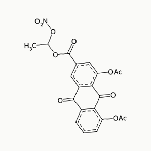 CC(=O)Oc1cccc2c1C(=O)c1c(OC(C)=O)cc(C(=O)OC(C)O[N+](=O)[O-])cc1C2=O